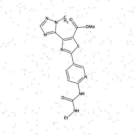 CCNC(=O)Nc1ccc(-c2nc(-c3ncnn3C)c(C(=O)OC)s2)cn1